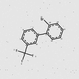 FC(F)(F)c1[c]ccc(-c2ccccc2Br)c1